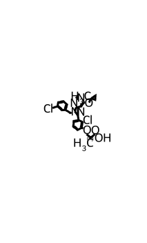 C[C@H](COc1cccc(-c2nc3c(OC4(C)CC4)ncnc3n2Cc2cccc(Cl)c2)c1Cl)C(=O)O